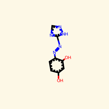 Oc1ccc(N=Nc2ncn[nH]2)c(O)c1